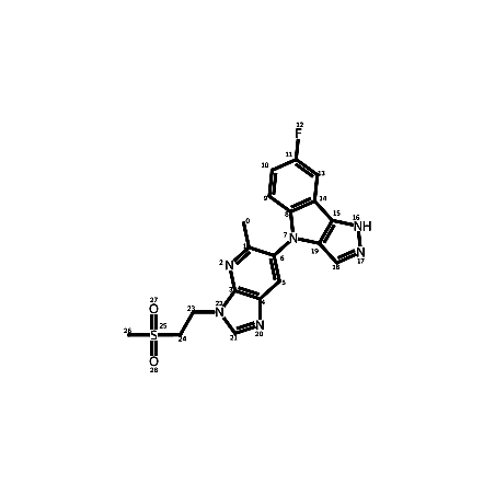 Cc1nc2c(cc1-n1c3ccc(F)cc3c3[nH]ncc31)ncn2CCS(C)(=O)=O